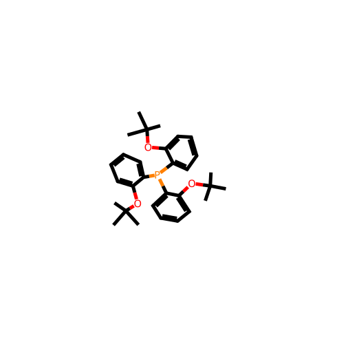 CC(C)(C)Oc1ccccc1P(c1ccccc1OC(C)(C)C)c1ccccc1OC(C)(C)C